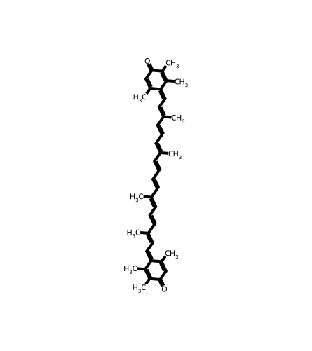 CC1=CC(=O)C(C)=C(C)/C1=C/C=C(C)/C=C/C=C(C)/C=C/C=C/C(C)=C/C=C/C(C)=C/C=C1\C(C)=CC(=O)C(C)=C1C